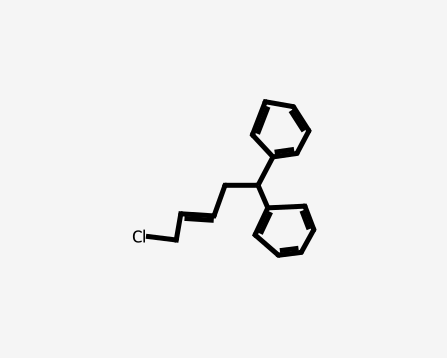 ClC/C=C/CC(c1ccccc1)c1ccccc1